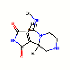 CCNC(=S)N1CCNCC1(CC)C1=C(C)C(=O)NC1=O